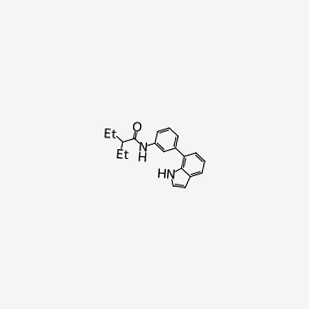 CCC(CC)C(=O)Nc1cccc(-c2cccc3cc[nH]c23)c1